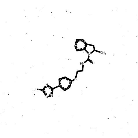 CC1Cc2ccccc2N1C(=O)NCCOc1ccc(-c2noc(C(F)(F)F)n2)cc1